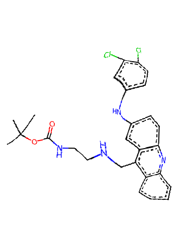 CC(C)(C)OC(=O)NCCNCc1c2ccccc2nc2ccc(Nc3ccc(Cl)c(Cl)c3)cc12